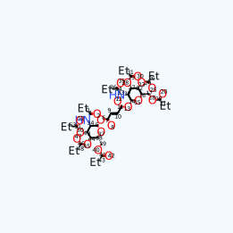 CCC(=O)N[C@H]1[C@@H](OC(=O)/C=C/C(=O)O[C@H]2O[C@H](COC(=O)CC)[C@@H](OC(=O)CC)[C@H](OC(=O)CC)[C@H]2NC(=O)CC)O[C@H](COC(=O)CC)[C@@H](OC(=O)CC)[C@@H]1OC(=O)CC